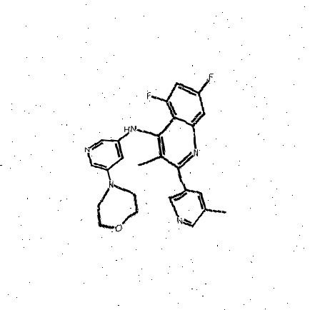 Cc1cncc(-c2nc3cc(F)cc(F)c3c(Nc3cncc(N4CCOCC4)c3)c2C)c1